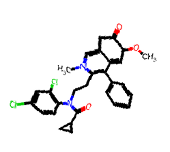 COC1C=C2C(=CN(C)C(CCN(C(=O)C3CC3)c3ccc(Cl)cc3Cl)=C2c2ccccc2)CC1=O